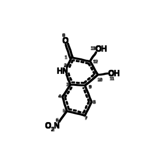 O=c1[nH]c2cc([N+](=O)[O-])ccc2c(O)c1O